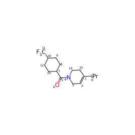 CC(C)C1=CCN(C(=O)C2CCC(C(F)(F)F)CC2)CC1